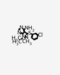 CC(C)(C)n1nc(Sc2cccc(Cl)c2)c2c(N)ncnc21